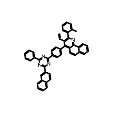 C=Cc1c(-c2ccccc2C)nc2c(ccc3ccccc32)c1-c1ccc(-c2nc(-c3ccccc3)nc(-c3ccc4ccccc4c3)n2)cc1